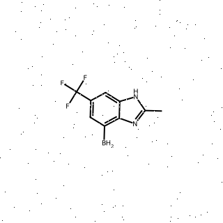 Bc1cc(C(F)(F)F)cc2[nH]c(C)nc12